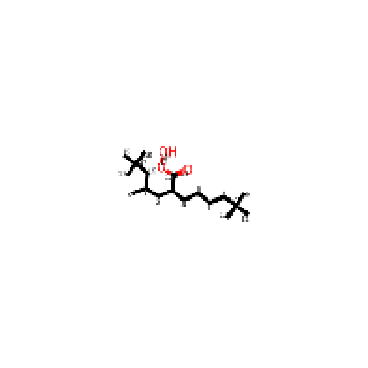 CC(CC(CCCCC(C)(C)C)C(=O)OO)CC(C)(C)C